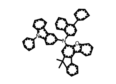 CC1(C)c2ccccc2-c2c1cc(N(c1ccc3c(c1)c1ccccc1n3-c1ccccc1)c1ccc(-c3ccccc3)c3ccccc13)c1oc3ccccc3c21